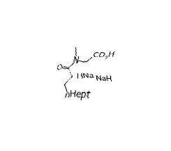 CCCCCCCCCC(=O)N(C)CC(=O)O.[NaH].[NaH]